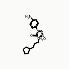 Nc1ccc(-n2nnn(CCCC3CCCC3)c2=O)cc1.O